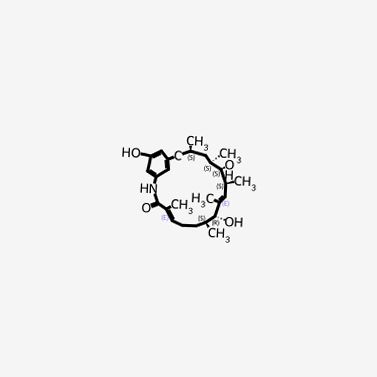 C/C1=C\CC[C@H](C)[C@@H](O)/C(C)=C/[C@H](C)[C@@H](O)[C@@H](C)C[C@H](C)Cc2cc(O)cc(c2)NC1=O